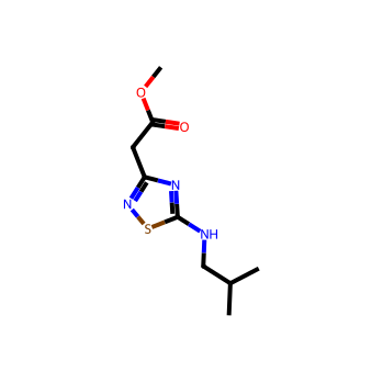 COC(=O)Cc1nsc(NCC(C)C)n1